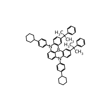 CC(C)(c1ccccc1)c1ccc2c(c1)B1c3cc(C(C)(C)c4ccccc4)ccc3N(c3ccc(C4CCCCC4)cc3)c3cccc(c31)N2c1ccc(C2CCCCC2)cc1